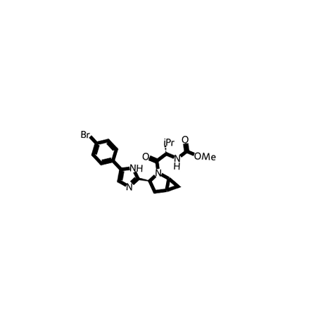 COC(=O)N[C@H](C(=O)N1C2CC2C[C@H]1c1ncc(-c2ccc(Br)cc2)[nH]1)C(C)C